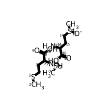 CS.CSCCC(N)C(=O)O.C[S+]([O-])CCC(N)C(=O)O